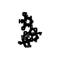 [CH2][C@]1(C=C)O[C@@H](n2ccc(=O)[nH]c2=O)[C@@H](OC)[C@H]1O[Si](C)(C)C(C)(C)C